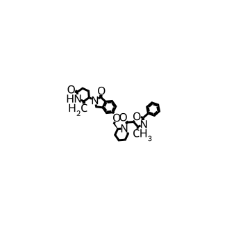 C=C1NC(=O)CCC1N1Cc2cc(OC[C@@H]3CCCCN3C(=O)C3OC(c4ccccc4)=NC3C)ccc2C1=O